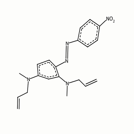 C=CCN(C)c1ccc(/N=N/c2ccc([N+](=O)[O-])cc2)c(N(C)CC=C)c1